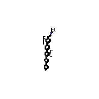 CC/C=C/CCc1ccc(-c2ccc(-c3ccc(C4=CCC(C5CCC(C)CC5)CC4)c(F)c3F)cc2)c(F)c1F